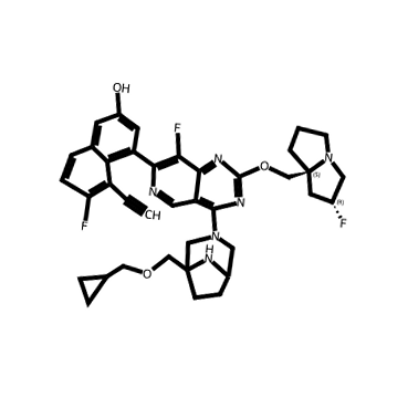 C#Cc1c(F)ccc2cc(O)cc(-c3ncc4c(N5CC6CCC(COCC7CC7)(C5)N6)nc(OC[C@@]56CCCN5C[C@H](F)C6)nc4c3F)c12